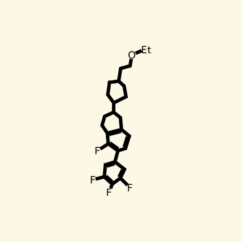 CCOCCC1CCC(C2CCc3c(ccc(-c4cc(F)c(F)c(F)c4)c3F)C2)CC1